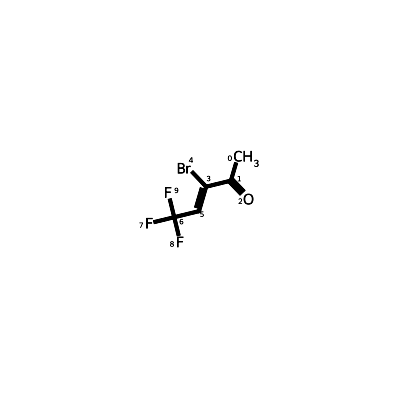 CC(=O)C(Br)=CC(F)(F)F